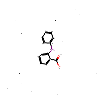 O=C(O)c1ccccc1Pc1ccccc1